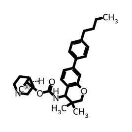 CCCCc1ccc(-c2ccc3c(c2)OCC(C)(C)C3NC(=O)O[C@H]2CN3CCC2CC3)cc1